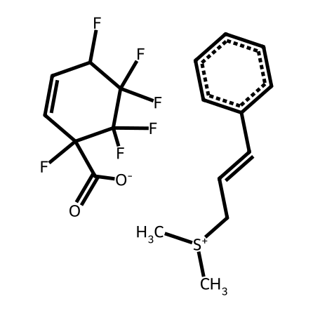 C[S+](C)CC=Cc1ccccc1.O=C([O-])C1(F)C=CC(F)C(F)(F)C1(F)F